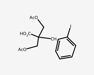 CC(=O)OCC(C)(COC(C)=O)C(=O)O.Ic1ccccc1